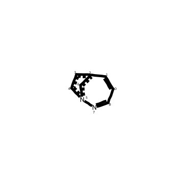 C1=Cc2ccn(c2)N=C1